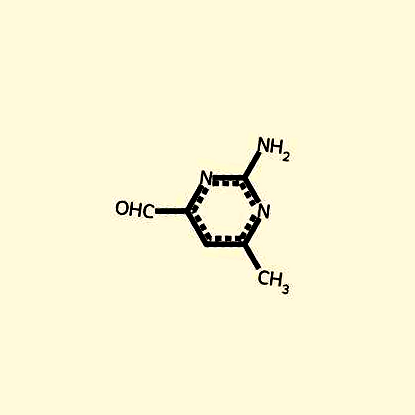 Cc1cc(C=O)nc(N)n1